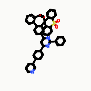 O=S1(=O)c2ccccc2C2(c3ccccc3-c3ccccc3-c3ccc(-c4cc(-c5ccc(-c6cccnc6)cc5)nc(-c5ccccc5)n4)cc32)c2ccccc21